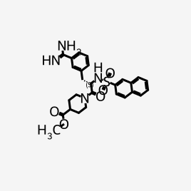 COC(=O)C1CCN(C(=O)[C@H](Cc2cccc(C(=N)N)c2)NS(=O)(=O)c2ccc3ccccc3c2)CC1